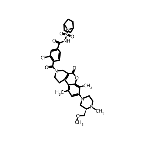 COC[C@H]1CN(c2cc(C)c3c4c(c(=O)oc3c2C)CN(C(=O)c2ccc(C(=O)NS(=O)(=O)N3C5CCC3CC5)cc2Cl)CC4)CCN1C